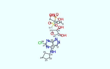 CC(CO)(P(=O)(O)O)S(=O)(=O)C[C@H]1O[C@@H](n2ncc3c(NC4CCCC4)nc(Cl)nc32)[C@H](O)[C@@H]1O